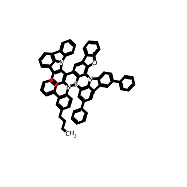 CCCCc1ccc(N2B3c4c(cc5c(oc6ccccc65)c4-n4c5ccc(-c6ccccc6)cc5c5cc(-c6ccccc6)cc3c54)-c3c2ccc2c4cccc5c6ccccc6n(c32)c54)c(-c2ccccc2)c1